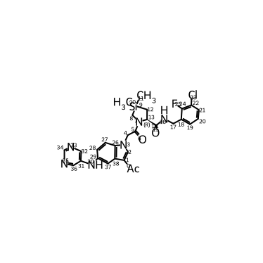 CC(=O)c1cn(CC(=O)N2C[Si](C)(C)C[C@H]2C(=O)NCc2cccc(Cl)c2F)c2ccc(Nc3cncnc3)cc12